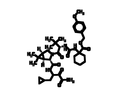 COc1ccc(COC(=O)C2(NC(=O)N[C@H](C(=O)N3C[C@H]4[C@@H]([C@H]3C(=O)NC(CC3CC3)C(=O)C(N)=O)C4(C)C)C(C)(C)C)CCCCC2)cc1